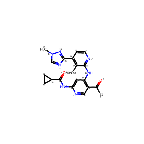 CCC(=O)c1cnc(NC(=O)C2CC2)cc1Nc1nccc(-c2ncn(C)n2)c1OC